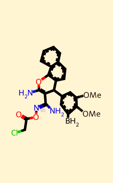 Bc1cc(C2C(/C(N)=N/OC(=O)CCl)=C(N)Oc3c2ccc2ccccc32)cc(OC)c1OC